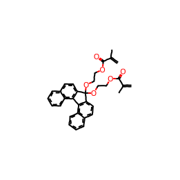 C=C(C)C(=O)OCCOC1(OCCOC(=O)C(=C)C)c2ccc3ccccc3c2-c2c1ccc1ccccc21